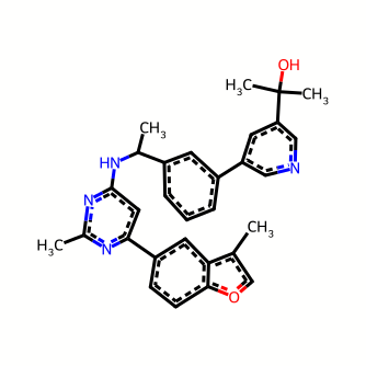 Cc1nc(NC(C)c2cccc(-c3cncc(C(C)(C)O)c3)c2)cc(-c2ccc3occ(C)c3c2)n1